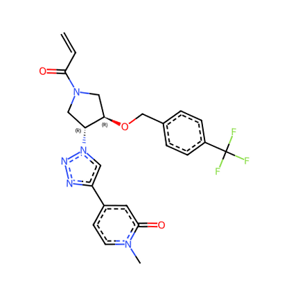 C=CC(=O)N1C[C@@H](n2cc(-c3ccn(C)c(=O)c3)nn2)[C@H](OCc2ccc(C(F)(F)F)cc2)C1